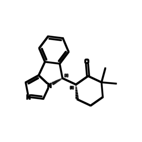 CC1(C)CCC[C@H]([C@H]2c3ccccc3-c3cncn32)C1=O